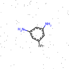 CC[CH]c1cc(N)cc(N)c1